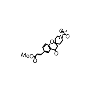 COC(=O)/C=C/c1ccc2c(c1)C(=O)CC1(CCN(S(C)(=O)=O)CC1)O2